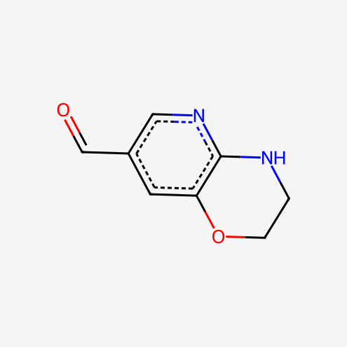 O=Cc1cnc2c(c1)OCCN2